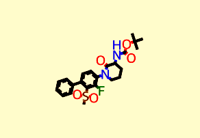 CC(C)(C)OC(=O)NC1CCCN(c2ccc(-c3ccccc3)c(S(C)(=O)=O)c2F)C1=O